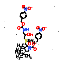 CC(C)(C)[C@H]1CN(C(=O)OCc2ccc([N+](=O)[O-])cc2)[C@@](CSCC(O)CNC(=O)OCc2ccc([N+](=O)[O-])cc2)(O[SiH3])C1(C)C